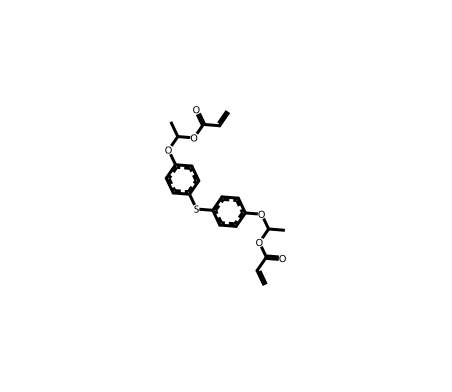 C=CC(=O)OC(C)Oc1ccc(Sc2ccc(OC(C)OC(=O)C=C)cc2)cc1